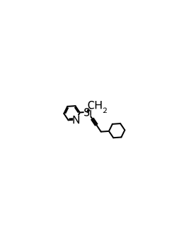 C=[Si](C#CCC1CCCCC1)c1ccccn1